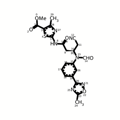 COC(=O)c1sc(NC(=O)C[C@@H](CC#N)N(C=O)c2cccc(-c3noc(C)n3)c2)nc1C